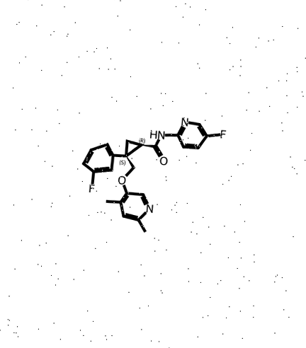 Cc1cc(C)c(OC[C@@]2(c3cccc(F)c3)C[C@H]2C(=O)Nc2ccc(F)cn2)cn1